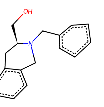 OC[C@@H]1Cc2ccccc2CN1Cc1ccccc1